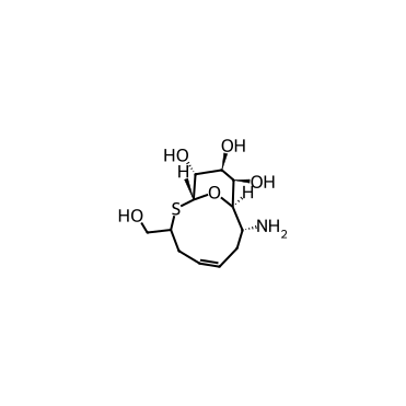 N[C@@H]1CC=CCC(CO)S[C@H]2O[C@H]1[C@H](O)[C@H](O)[C@H]2O